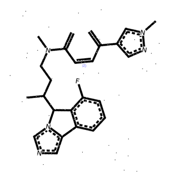 C=C(/C=C\C(=C)N(C)CCC(C)C1c2c(F)cccc2-c2cncn21)c1cnn(C)c1